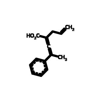 C=CCC(=C=C(C)c1ccccc1)C(=O)O